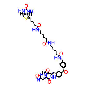 CC(C)(C)c1ocnc1/C=c1\[nH]c(=O)/c(=C/c2cccc(C(=O)c3ccc(CNC(=O)CCCCCNC(=O)CCCCCNC(=O)CCCC[C@@H]4SC[C@H]5NC(=O)N[C@@H]45)cc3)c2)[nH]c1=O